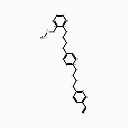 C=Cc1ccc(CCCCc2ccc(CCCCc3ccccc3COCCCC)cc2)cc1